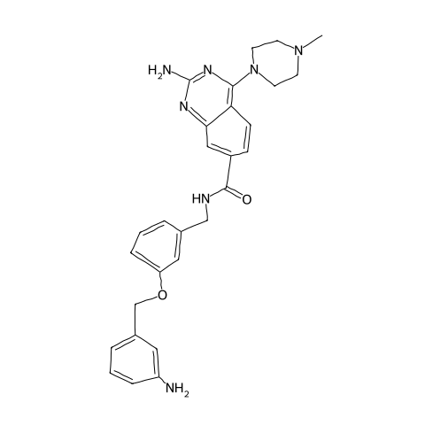 CN1CCN(c2nc(N)nc3cc(C(=O)NCc4cccc(OCc5cccc(N)c5)c4)ccc23)CC1